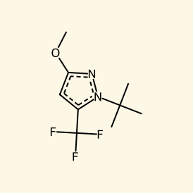 COc1cc(C(F)(F)F)n(C(C)(C)C)n1